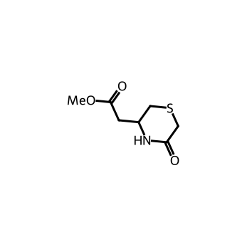 COC(=O)CC1CSCC(=O)N1